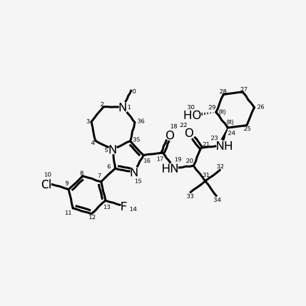 CN1CCCn2c(-c3cc(Cl)ccc3F)nc(C(=O)NC(C(=O)N[C@@H]3CCCC[C@H]3O)C(C)(C)C)c2C1